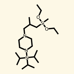 CCO[Si](C)(CC(C)CN1CCN([Si](C(C)C)(C(C)C)C(C)C)CC1)OCC